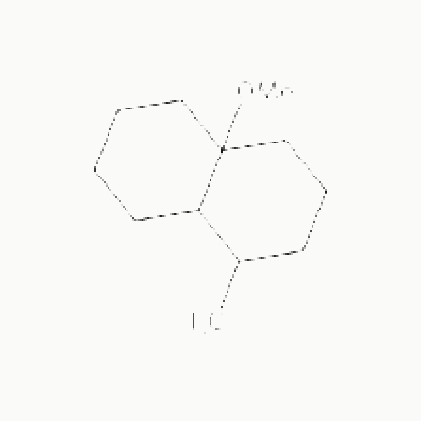 COC12CCCCC1C(C)CCC2